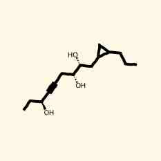 CCCC1CC1C[C@@H](O)[C@H](O)CC#C[C@@H](O)CC